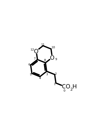 O=C(O)CCc1cccc2c1OCCO2